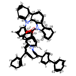 c1ccc(-c2ccc(-c3cc(-c4ccccc4)cc(-c4cccc(-n5c6ccccc6c6ccc7c8ccccc8n(-c8cccc9c8oc8ccccc89)c7c65)c4)n3)cc2)cc1